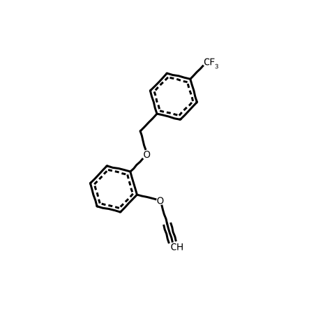 C#COc1ccccc1OCc1ccc(C(F)(F)F)cc1